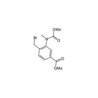 COC(=O)c1ccc(CBr)c(N(C)C(=O)OC)c1